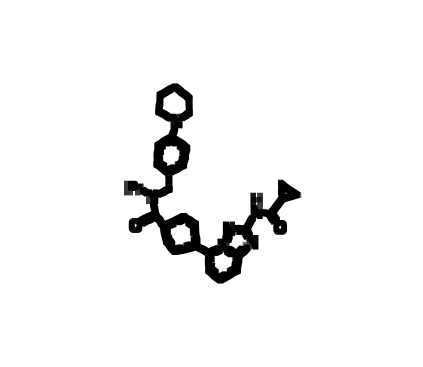 CC(C)N(Cc1ccc(N2CCCCC2)cc1)C(=O)c1ccc(-c2cccc3nc(NC(=O)C4CC4)nn23)cc1